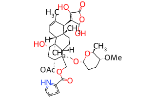 CO[C@@H]1CC[C@H](OC[C@@]2(COC(=O)c3ccc[nH]3)[C@H]3CC[C@@]4(C)[C@H](C5=C(O)C(=O)OC5O)C(C)=CC[C@H]4[C@]3(C)[C@@H](O)C[C@H]2OC(C)=O)O[C@H]1C